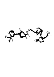 C[C@H](Nc1nccc(N2C(=O)OC[C@@H]2[C@@H](C)O)n1)c1cc(F)c(-c2ccnc(C(F)(F)F)c2)cc1F